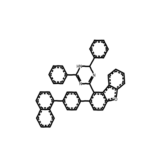 c1ccc(C2=NC(c3c(-c4ccc(-c5cccc6ccccc56)cc4)ccc4oc5ccccc5c34)=NC(c3ccccc3)N2)cc1